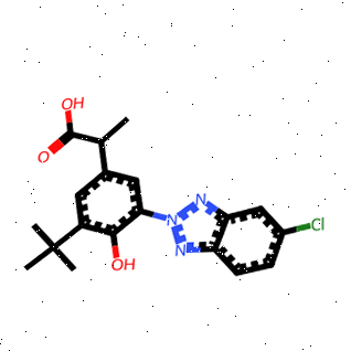 CC(C(=O)O)c1cc(-n2nc3ccc(Cl)cc3n2)c(O)c(C(C)(C)C)c1